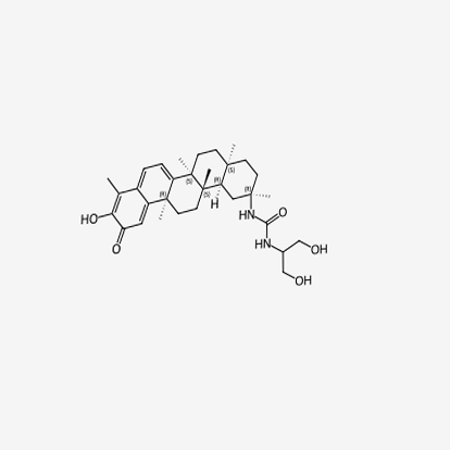 CC1=C(O)C(=O)C=C2C1=CC=C1[C@@]2(C)CC[C@@]2(C)[C@@H]3C[C@](C)(NC(=O)NC(CO)CO)CC[C@]3(C)CC[C@]12C